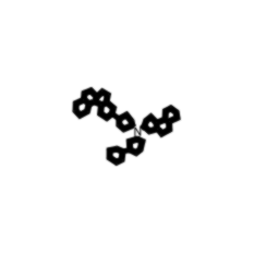 c1ccc(-c2cccc(N(c3ccc(-c4ccc5c(ccc6ccc7ccccc7c65)c4)cc3)c3ccc4c(ccc5ccccc54)c3)c2)cc1